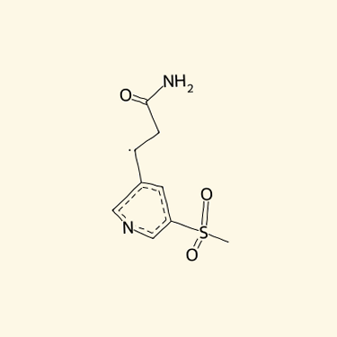 CS(=O)(=O)c1cncc([CH]CC(N)=O)c1